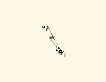 CCCCCCCCCCCCCCCCCCCCCCCCCCCCCCCCCC[N+](C)(C)CCC.CCCCCCCCCCCCCCCCCC[NH-]